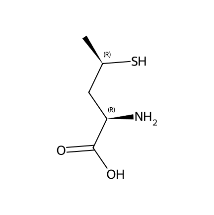 C[C@@H](S)C[C@@H](N)C(=O)O